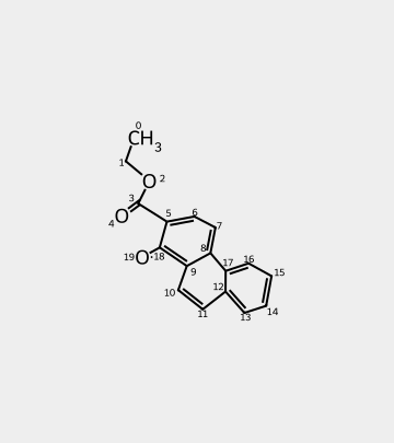 CCOC(=O)c1ccc2c(ccc3ccccc32)c1[O]